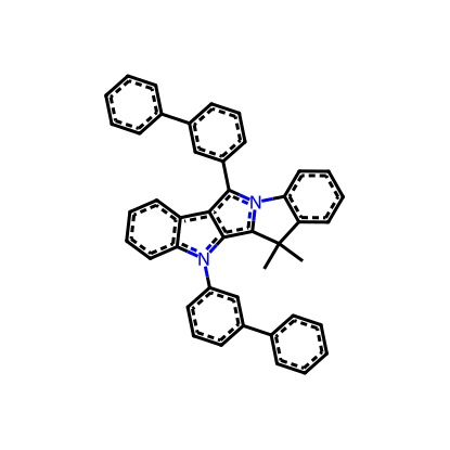 CC1(C)c2ccccc2-n2c(-c3cccc(-c4ccccc4)c3)c3c4ccccc4n(-c4cccc(-c5ccccc5)c4)c3c21